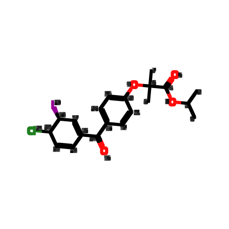 CC(C)OC(=O)C(C)(C)Oc1ccc(C(=O)C2=C[C@H](I)C(Cl)C=C2)cc1